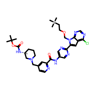 CC(C)(C)OC(=O)N[C@@H]1CCCN(Cc2ccnc(C(=O)Nc3cnc(-c4cc5c(Cl)ncnc5n4COCC[Si](C)(C)C)nc3)c2)C1